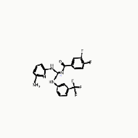 Nc1cccc(N/C(=N\C(=O)c2ccc(F)c(F)c2)Nc2cccc(C(F)(F)F)c2)n1